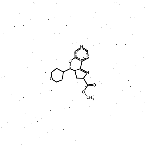 COC(=O)C1CC2C(=N1)c1ccncc1OC2C1CCOCC1